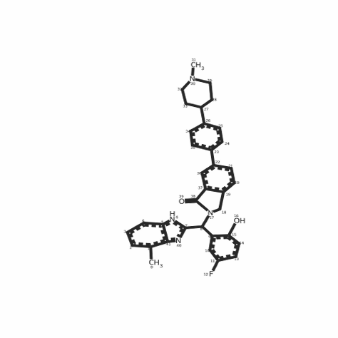 Cc1cccc2[nH]c(C(c3cc(F)ccc3O)N3Cc4ccc(-c5ccc(C6CCN(C)CC6)cc5)cc4C3=O)nc12